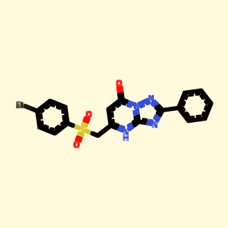 CCc1ccc(S(=O)(=O)Cc2cc(=O)n3nc(-c4ccccc4)nc3[nH]2)cc1